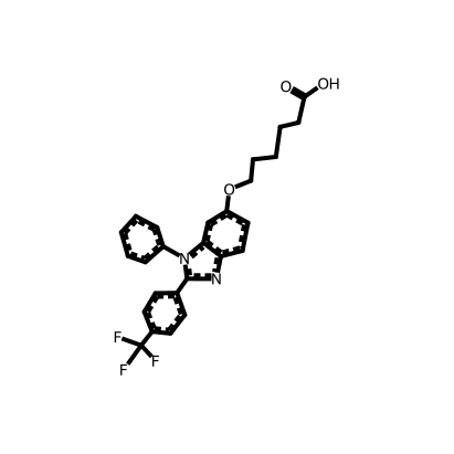 O=C(O)CCCCCOc1ccc2nc(-c3ccc(C(F)(F)F)cc3)n(-c3ccccc3)c2c1